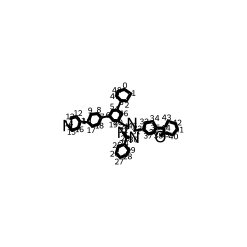 c1ccc(-c2cc(-c3ccc(-c4ccncc4)cc3)cc(-c3nc(-c4ccccc4)nc(-c4ccc5c(c4)oc4ccccc45)n3)c2)cc1